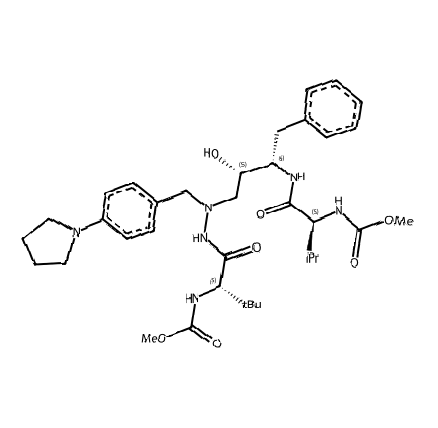 COC(=O)N[C@H](C(=O)N[C@@H](Cc1ccccc1)[C@@H](O)CN(Cc1ccc(N2CCCC2)cc1)NC(=O)[C@@H](NC(=O)OC)C(C)(C)C)C(C)C